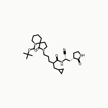 CC(C)(C)OC(=O)N1CCCCC12CCN(CCCC(CC1CC1)C(=O)N[C@H](C#N)C[C@@H]1CCNC1=O)C2=O